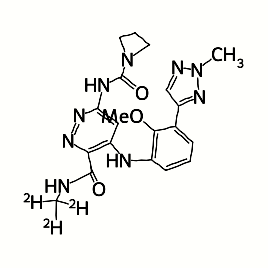 [2H]C([2H])([2H])NC(=O)c1nnc(NC(=O)N2CCC2)cc1Nc1cccc(-c2cnn(C)n2)c1OC